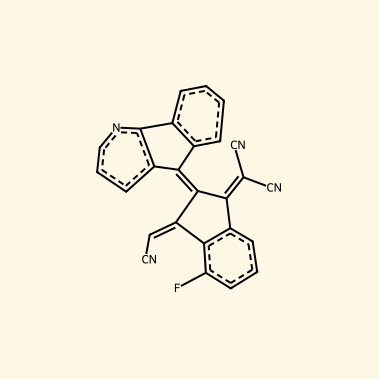 N#C/C=C1/C(=C2/c3ccccc3-c3ncccc32)C(=C(C#N)C#N)c2cccc(F)c21